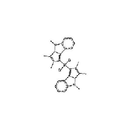 CC1=C(C)C2C(=[C]1[Zr]([Cl])([Cl])[C]1=C3c4ccccc4N(C)C3C(C)=C1C)c1ccccc1N2C